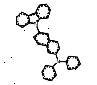 c1ccc(N(c2ccccc2)c2ccc3cc(-n4c5ccccc5c5ccccc54)ccc3c2)cc1